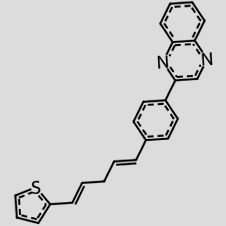 C(=Cc1ccc(-c2cnc3ccccc3n2)cc1)CC=Cc1cccs1